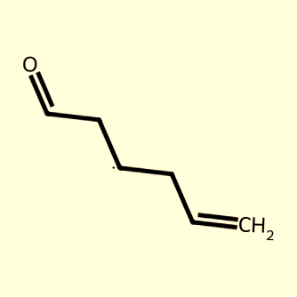 C=CC[CH]CC=O